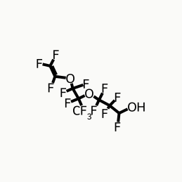 OC(F)C(F)(F)C(F)(F)OC(F)(C(F)(F)F)C(F)(F)OC(F)=C(F)F